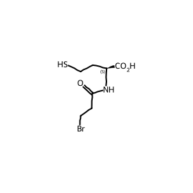 O=C(CCBr)N[C@@H](CCS)C(=O)O